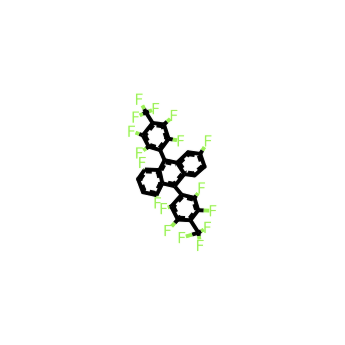 Fc1ccc2c(-c3c(F)c(F)c(C(F)(F)F)c(F)c3F)c3c(F)ccc(F)c3c(-c3c(F)c(F)c(C(F)(F)F)c(F)c3F)c2c1